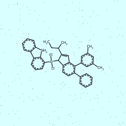 CCC(C)C1=Cc2c(ccc(-c3ccccc3)c2-c2cc(C)cc(C)c2)[CH]1[Zr]([Cl])([Cl])[c]1cccc2c1[SiH2]c1ccccc1-2